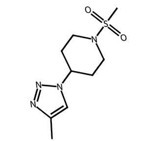 Cc1cn(C2CCN(S(C)(=O)=O)CC2)nn1